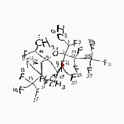 CC(F)C(OC(C(C)F)(C(C)F)C(F)(F)C(F)(F)F)(C(C)F)C(F)(F)C(F)(F)F